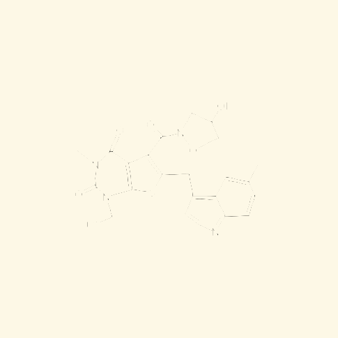 CC(C)Cn1c(=O)n(C)c(=O)c2c(C(=O)N3CC(O)CO3)c(Cc3ccnc4ccc(F)cc34)sc21